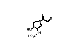 CC(C)(C)N1CCN(C(=O)CBr)CC1NC(=O)O